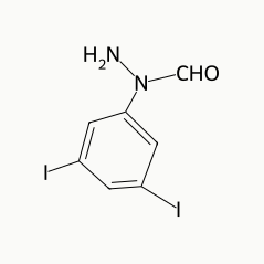 NN(C=O)c1cc(I)cc(I)c1